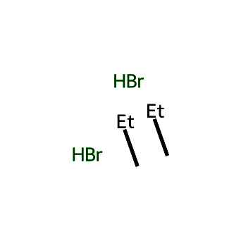 Br.Br.CCC.CCC